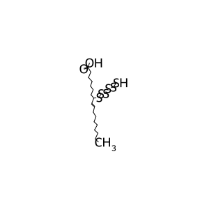 CCCCCCCCC=CC(CCCCCCC(=O)O)SSSSSS